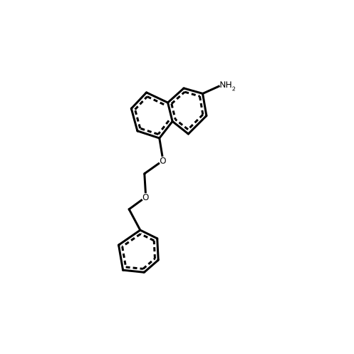 Nc1ccc2c(OCOCc3ccccc3)cccc2c1